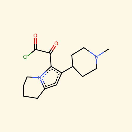 CN1CCC(c2cc3n(c2C(=O)C(=O)Cl)CCCC3)CC1